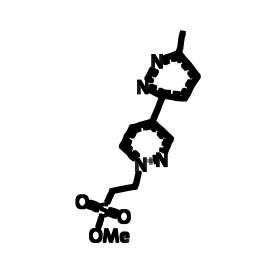 COS(=O)(=O)CC[n+]1ccc(-c2ccc(C)nn2)cn1